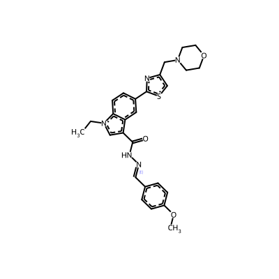 CCn1cc(C(=O)N/N=C/c2ccc(OC)cc2)c2cc(-c3nc(CN4CCOCC4)cs3)ccc21